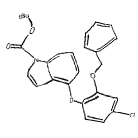 CC(C)(C)OC(=O)n1ccc2c(Oc3ccc(Cl)cc3OCc3ccccc3)cccc21